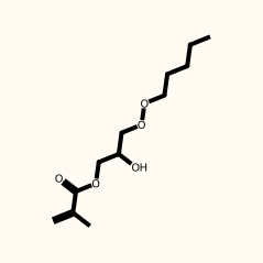 C=C(C)C(=O)OCC(O)COOCCCCC